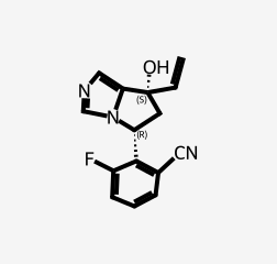 C=C[C@@]1(O)C[C@H](c2c(F)cccc2C#N)n2cncc21